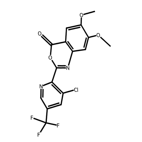 COc1cc2nc(-c3ncc(C(F)(F)F)cc3Cl)oc(=O)c2cc1OC